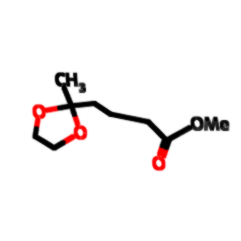 COC(=O)CCCC1(C)OCCO1